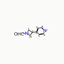 O=CN1CC(c2ccncc2)C1